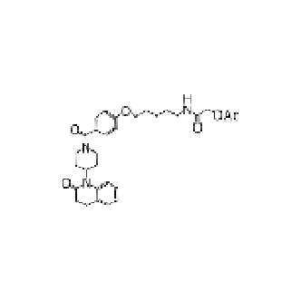 CC(=O)OCC(=O)NCCCCCOc1ccc(C(=O)N2CCC(N3C(=O)CCc4ccccc43)CC2)cc1